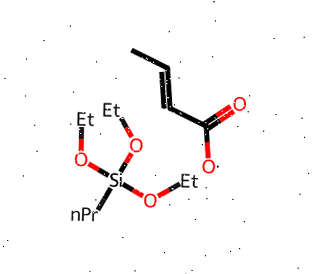 CC=CC([O])=O.CCC[Si](OCC)(OCC)OCC